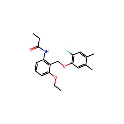 CCOc1cccc(NC(=O)CC)c1COc1cc(C)c(C)cc1F